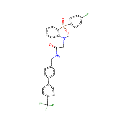 CN(CC(=O)NCc1ccc(-c2ccc(C(F)(F)F)cc2)cc1)c1ccccc1S(=O)(=O)c1ccc(F)cc1